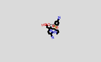 Cc1c(CC(=O)O)c2ccc(C#N)cn2c1C(c1ccc[nH]1)S(=O)(=O)c1ccc(C#N)cc1